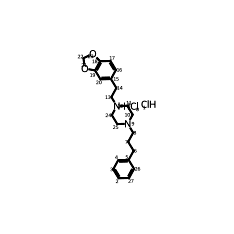 Cl.Cl.c1ccc(CCCN2CCN(CCc3ccc4c(c3)OCO4)CC2)cc1